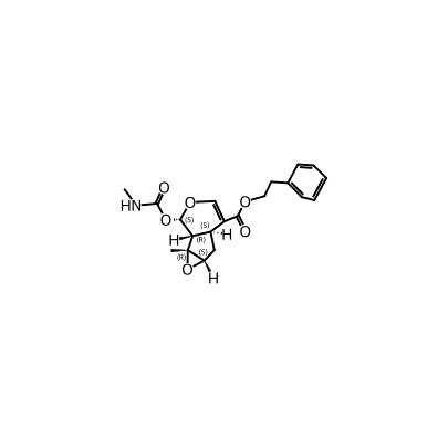 CNC(=O)O[C@@H]1OC=C(C(=O)OCCc2ccccc2)[C@H]2C[C@@H]3O[C@]3(C)[C@H]12